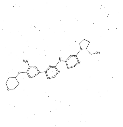 Nc1cc(-c2ccnc(Nc3ccnc(N4CCC[C@@H]4CO)c3)n2)ccc1OC1CCOCC1